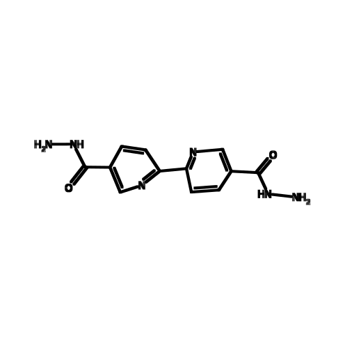 NNC(=O)c1ccc(-c2ccc(C(=O)NN)cn2)nc1